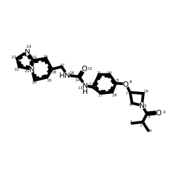 CC(C)C(=O)N1CC(Oc2ccc(NC(=O)NCc3ccn4ccnc4c3)cc2)C1